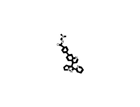 CN(C)/C=N/C(=O)c1ccc(-c2ccc3c(-c4c(-c5ccccn5)nn5c4CCC5)ccnc3c2)cc1